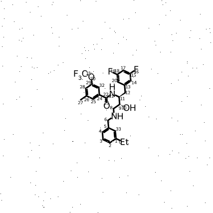 CCc1cccc(CNC[C@@H](O)[C@H](Cc2cc(F)cc(F)c2)NC(=O)c2cc(C)cc(OC(F)(F)F)c2)c1